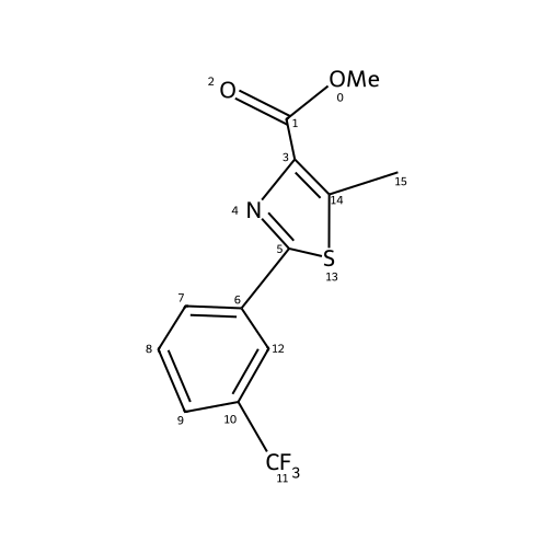 COC(=O)c1nc(-c2cccc(C(F)(F)F)c2)sc1C